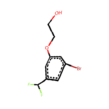 OCCOc1cc(Br)cc(C(F)F)c1